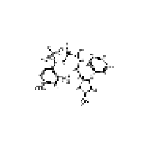 CN(C(=O)CN(c1ccc(Cl)cc1Cl)S(C)(=O)=O)[C@H](CN1CCC(O)C1)c1ccccc1